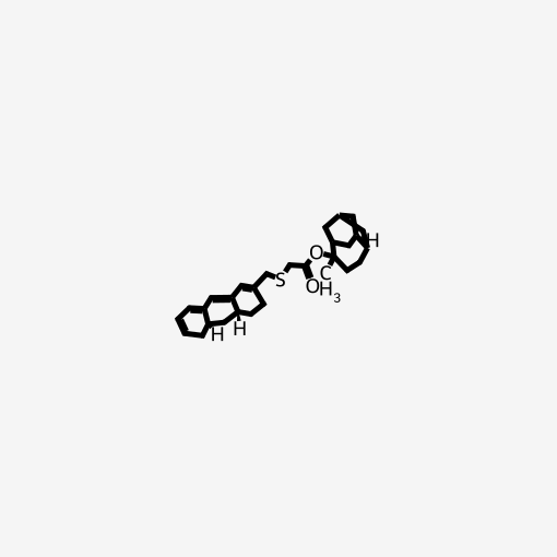 CC1(OC(=O)CSCC2=CC3=CC4=CC=CC[C@H]4C[C@H]3CC2)CCC2CC3CC1C[C@H]2C3